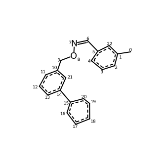 Cc1cccc(/[C]=N\OCc2cccc(-c3ccccc3)c2)c1